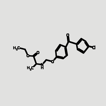 CCOC(=O)C(C)NCOc1ccc(C(=O)c2ccc(Cl)cc2)cc1